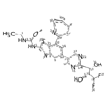 CCNC(=O)Nc1nc2cc(-c3cnc([C@H](O)[C@@H](O)C(F)F)nc3)cc(-c3ccccn3)c2s1